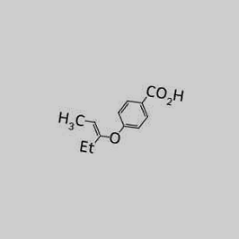 CC=C(CC)Oc1ccc(C(=O)O)cc1